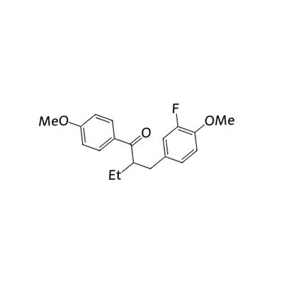 CCC(Cc1ccc(OC)c(F)c1)C(=O)c1ccc(OC)cc1